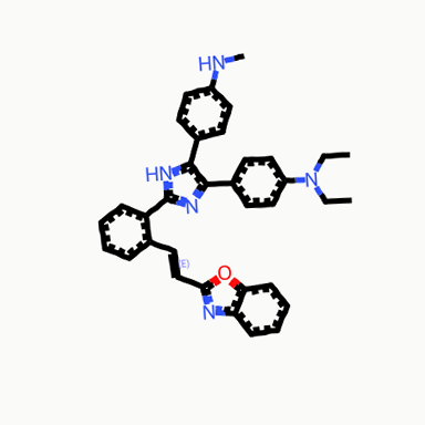 CCN(CC)c1ccc(-c2nc(-c3ccccc3/C=C/c3nc4ccccc4o3)[nH]c2-c2ccc(NC)cc2)cc1